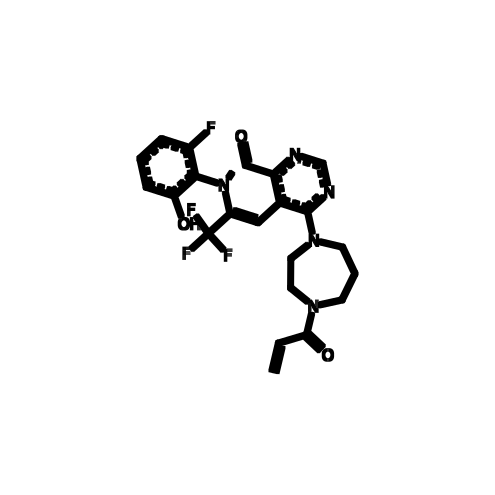 C=CC(=O)N1CCCN(c2ncnc(C=O)c2/C=C(\N(C)c2c(O)cccc2F)C(F)(F)F)CC1